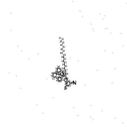 CCCCCCCCCCCCCCCCCCOCC(COc1cc(F)cc(C#N)c1)COC(c1ccccc1)(c1ccccc1)c1ccccc1